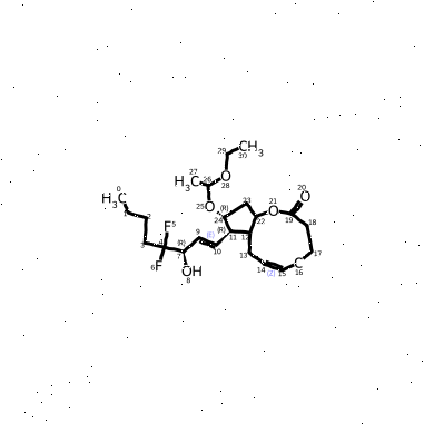 CCCCC(F)(F)[C@H](O)/C=C/[C@@H]1C2C/C=C\CCCC(=O)OC2C[C@H]1OC(C)OCC